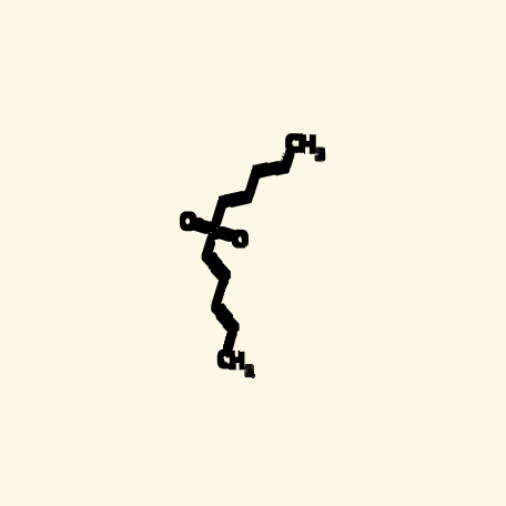 CC=CC=CS(=O)(=O)C=CC=CC